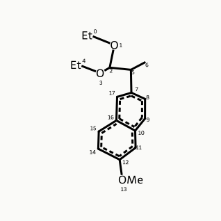 CCOC(OCC)C(C)c1ccc2cc(OC)ccc2c1